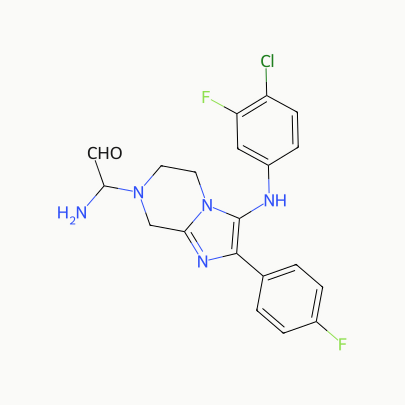 NC(C=O)N1CCn2c(nc(-c3ccc(F)cc3)c2Nc2ccc(Cl)c(F)c2)C1